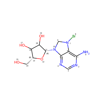 Nc1ncnc2c1N(Br)CN2[C@@H]1O[C@H](CO)C(O)C1O